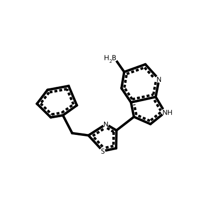 Bc1cnc2[nH]cc(-c3csc(Cc4ccccc4)n3)c2c1